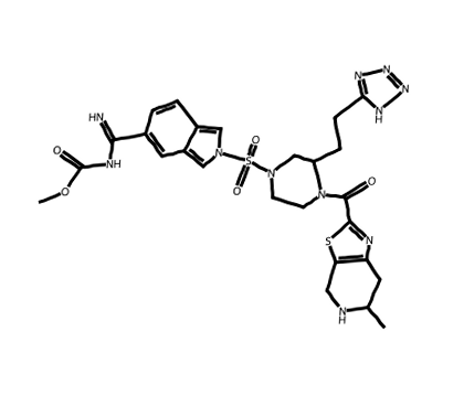 COC(=O)NC(=N)c1ccc2cn(S(=O)(=O)N3CCN(C(=O)c4nc5c(s4)CNC(C)C5)C(CCc4nnn[nH]4)C3)cc2c1